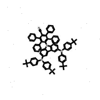 CC(C)(C)c1ccc(N(c2ccc(C(C)(C)C)cc2)c2ccc3c(c2)c2cc(N(c4ccc(C(C)(C)C)cc4)c4ccc(C(C)(C)C)cc4)ccc2n3-c2c(-c3ccccc3)c(-c3ccccc3)c(C#N)c(-c3ccccc3)c2-c2ccccc2)cc1